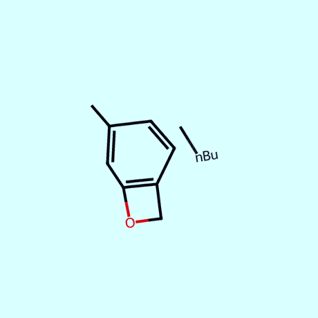 CCCCC.Cc1ccc2c(c1)OC2